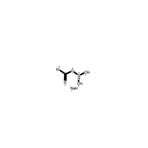 CCC(=O)O[SiH](O)O.[NaH]